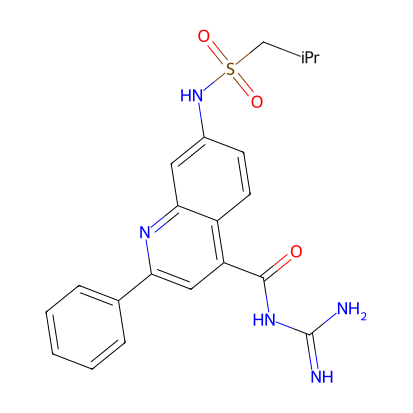 CC(C)CS(=O)(=O)Nc1ccc2c(C(=O)NC(=N)N)cc(-c3ccccc3)nc2c1